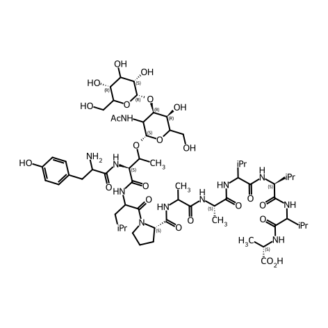 CC(=O)NC1[C@@H](OC(C)[C@H](NC(=O)C(N)Cc2ccc(O)cc2)C(=O)NC(CC(C)C)C(=O)N2CCC[C@H]2C(=O)NC(C)C(=O)N[C@@H](C)C(=O)NC(C(=O)N[C@H](C(=O)NC(C(=O)N[C@@H](C)C(=O)O)C(C)C)C(C)C)C(C)C)OC(CO)[C@H](O)[C@@H]1O[C@@H]1OC(CO)[C@H](O)C(O)[C@@H]1O